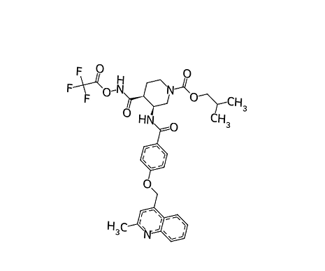 Cc1cc(COc2ccc(C(=O)N[C@@H]3CN(C(=O)OCC(C)C)CC[C@@H]3C(=O)NOC(=O)C(F)(F)F)cc2)c2ccccc2n1